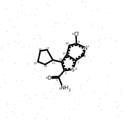 NC(=O)c1sc2cnc(Cl)cc2c1C1CCCC1